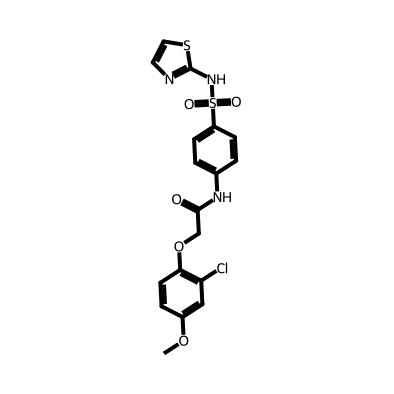 COc1ccc(OCC(=O)Nc2ccc(S(=O)(=O)Nc3nccs3)cc2)c(Cl)c1